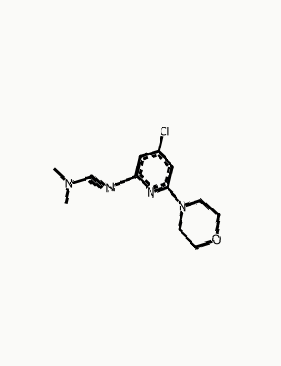 CN(C)/C=N/c1cc(Cl)cc(N2CCOCC2)n1